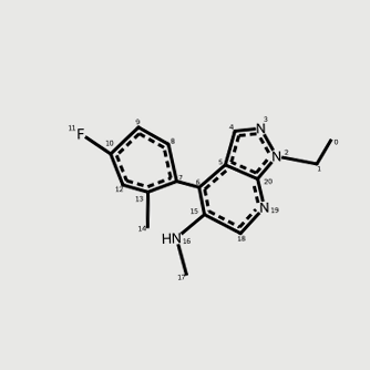 CCn1ncc2c(-c3ccc(F)cc3C)c(NC)cnc21